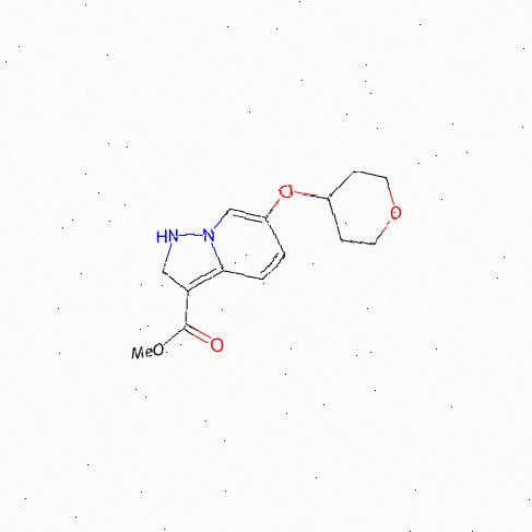 COC(=O)C1=C2C=CC(OC3CCOCC3)=CN2NC1